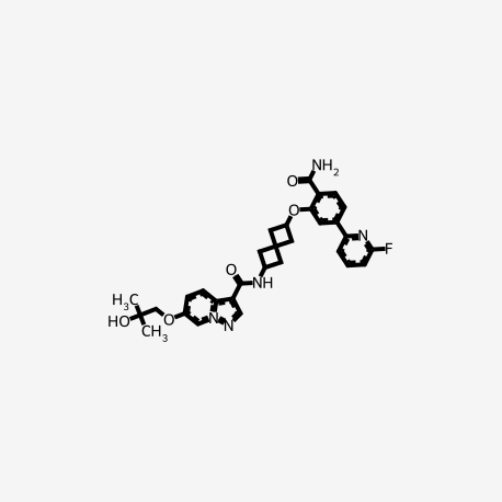 CC(C)(O)COc1ccc2c(C(=O)NC3CC4(C3)CC(Oc3cc(-c5cccc(F)n5)ccc3C(N)=O)C4)cnn2c1